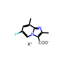 Cc1nc2c(C)cc(F)cn2c1C(=O)[O-].[K+]